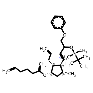 C=CCCCC(=C)O[C@H]1C[C@@H](C)[C@H](/C=C/C(COc2ccccc2)O[Si](C)(C)C(C)(C)C)[C@H]1CC=C